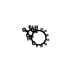 CC1(C)C(=O)O[C@@H]2COCCCCCCCP[C@H]21